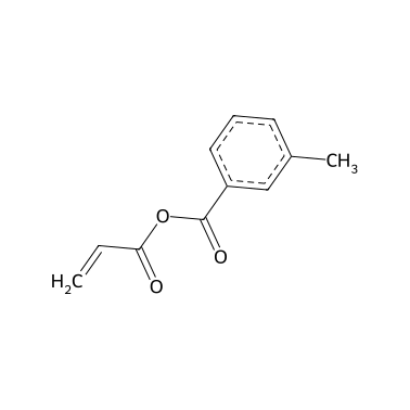 C=CC(=O)OC(=O)c1cccc(C)c1